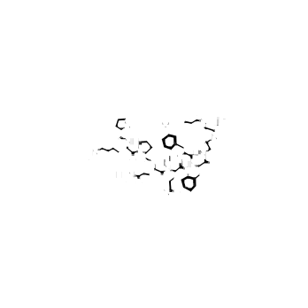 CSCC[C@H](NC(=O)[C@H](CC(C)C)NC(=O)CNC(=O)[C@H](Cc1ccccc1)NC(=O)[C@H](Cc1ccccc1)NC(=O)[C@H](CCC(N)=O)NC(=O)[C@H](CCC(N)=O)NC(=O)[C@@H]1CCCN1C(=O)[C@H](CCCCN)NC(=O)[C@@H]1CCCN1)C(=O)O